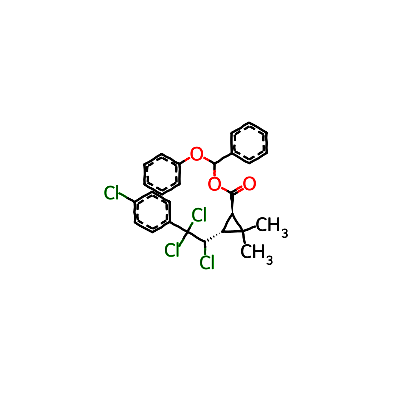 CC1(C)[C@H](C(=O)OC(Oc2ccccc2)c2ccccc2)[C@H]1C(Cl)C(Cl)(Cl)c1ccc(Cl)cc1